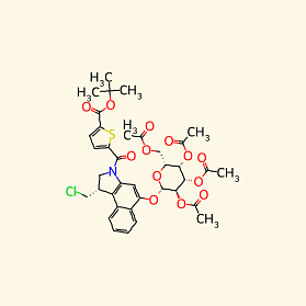 CC(=O)OC[C@H]1O[C@@H](Oc2cc3c(c4ccccc24)[C@H](CCl)CN3C(=O)c2ccc(C(=O)OC(C)(C)C)s2)[C@H](OC(C)=O)[C@@H](OC(C)=O)[C@H]1OC(C)=O